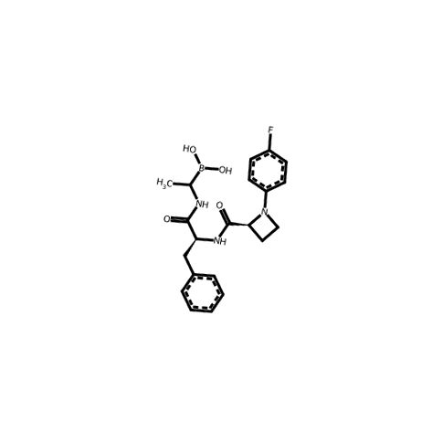 CC(NC(=O)[C@H](Cc1ccccc1)NC(=O)[C@@H]1CCN1c1ccc(F)cc1)B(O)O